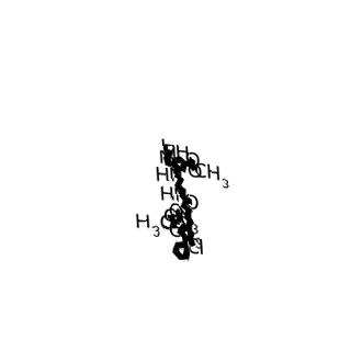 COC(=O)c1cc(NCCCNC(=O)CCN(Cc2ccc(-c3ccccc3)c(Cl)c2)C(=O)OC(C)(C)C)c2cnn(PI)c2c1